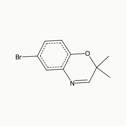 CC1(C)C=Nc2cc(Br)ccc2O1